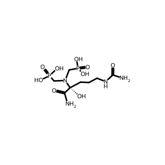 NC(=O)NCCC[C@@](O)(C(N)=O)N(CP(=O)(O)O)CP(=O)(O)O